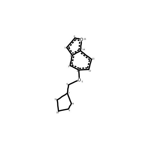 c1cc2cc(OCC3CCCC3)ccc2o1